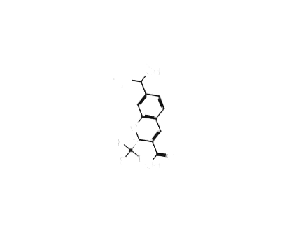 CC(C)c1ccc2c(c1)O[C@H](C(F)(F)F)C(C(=O)O)=C2